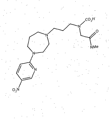 CNC(=O)CN(CCCN1CCCN(c2ccc([N+](=O)[O-])cn2)CC1)C(=O)O